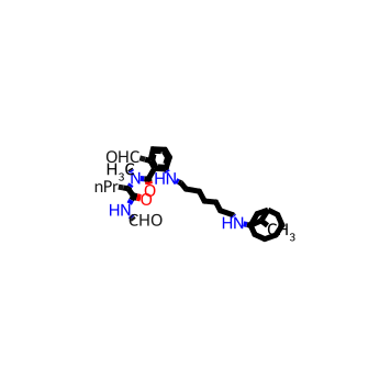 CCCC(C(=O)NC=O)N(C)C(=O)c1c(C=O)cccc1NCCCCCCCNC12CCCCCC(C1)C2C